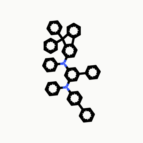 c1ccc(-c2ccc(N(c3ccccc3)c3cc(-c4ccccc4)cc(N(c4ccccc4)c4ccc5c(c4)C(c4ccccc4)(c4ccccc4)c4ccccc4-5)c3)cc2)cc1